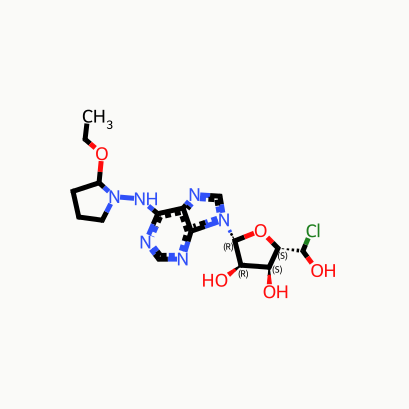 CCOC1CCCN1Nc1ncnc2c1ncn2[C@@H]1O[C@H](C(O)Cl)[C@@H](O)[C@H]1O